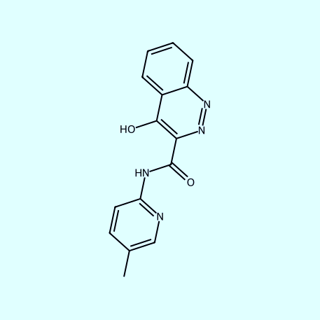 Cc1ccc(NC(=O)c2nnc3ccccc3c2O)nc1